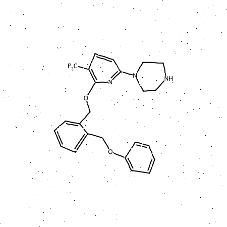 FC(F)(F)c1ccc(N2CCNCC2)nc1OCc1ccccc1COc1ccccc1